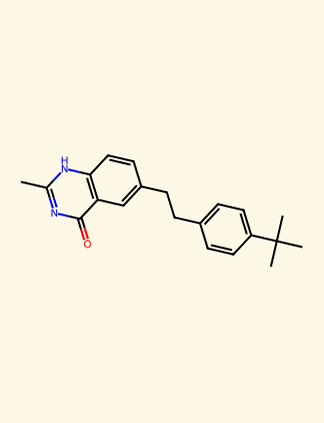 Cc1nc(=O)c2cc(CCc3ccc(C(C)(C)C)cc3)ccc2[nH]1